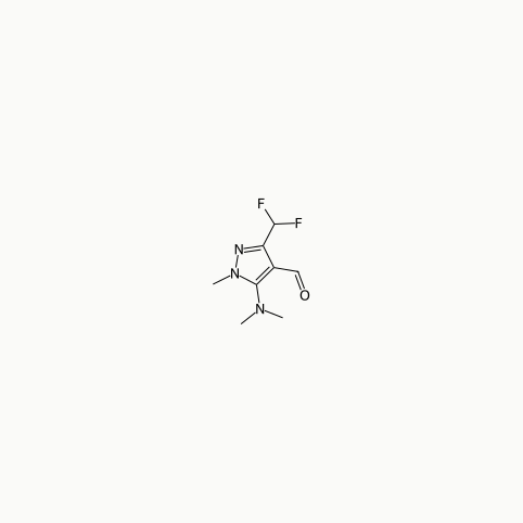 CN(C)c1c(C=O)c(C(F)F)nn1C